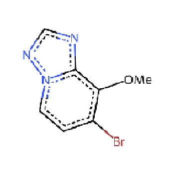 COc1c(Br)ccn2ncnc12